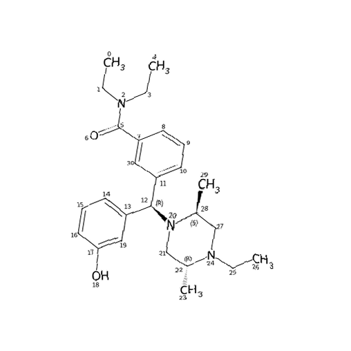 CCN(CC)C(=O)c1cccc([C@H](c2cccc(O)c2)N2C[C@@H](C)N(CC)C[C@@H]2C)c1